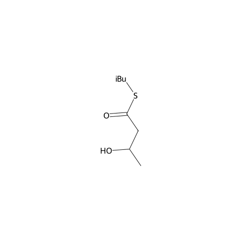 CCC(C)SC(=O)CC(C)O